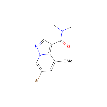 COc1cc(Br)cn2ncc(C(=O)N(C)C)c12